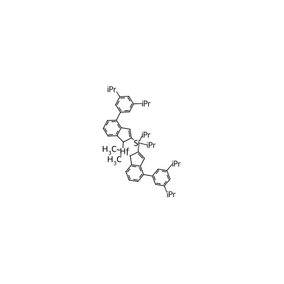 CC(C)c1cc(-c2cccc3c2C=C2[CH]3[Hf]([CH3])([CH3])[CH]3C(=Cc4c(-c5cc(C(C)C)cc(C(C)C)c5)cccc43)[Si]2(C(C)C)C(C)C)cc(C(C)C)c1